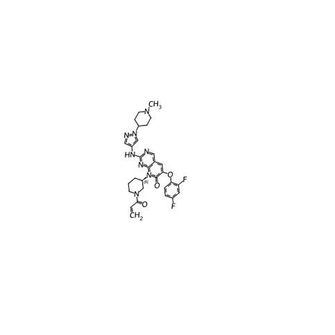 C=CC(=O)N1CCC[C@@H](n2c(=O)c(Oc3ccc(F)cc3F)cc3cnc(Nc4cnn(C5CCN(C)CC5)c4)nc32)C1